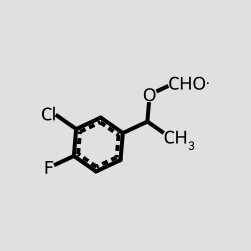 CC(O[C]=O)c1ccc(F)c(Cl)c1